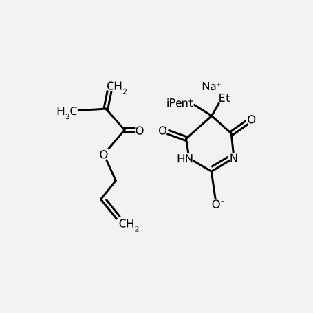 C=CCOC(=O)C(=C)C.CCCC(C)C1(CC)C(=O)N=C([O-])NC1=O.[Na+]